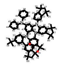 CC(C)(C)c1ccc2c(c1)B1c3cc4c(cc3N(c3ccc5c(c3)C(C)(C)CC5(C)C)c3cc(N(c5ccccc5)c5ccccc5)cc(c31)N2c1ccc(C(C)(C)C)cc1-c1ccc2c(c1)C(C)(C)CC2(C)C)C(C)(C)CC4(C)C